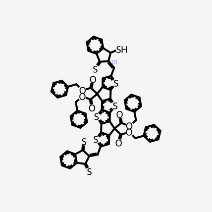 O=C(OCc1ccccc1)C1(C(=O)OCc2ccccc2)c2cc(C=C3C(=S)c4ccccc4C3=S)sc2-c2sc3c4c(sc3c21)-c1sc(/C=C2\C(=S)c3ccccc3C2S)cc1C4(C(=O)OCc1ccccc1)C(=O)OCc1ccccc1